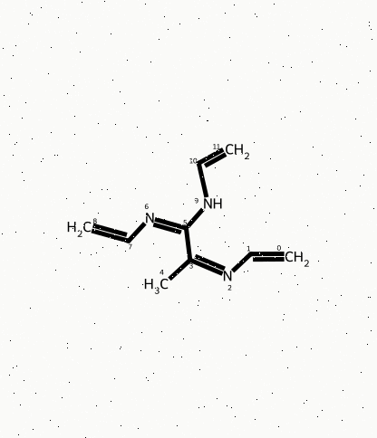 C=C/N=C(C)\C(=N/C=C)NC=C